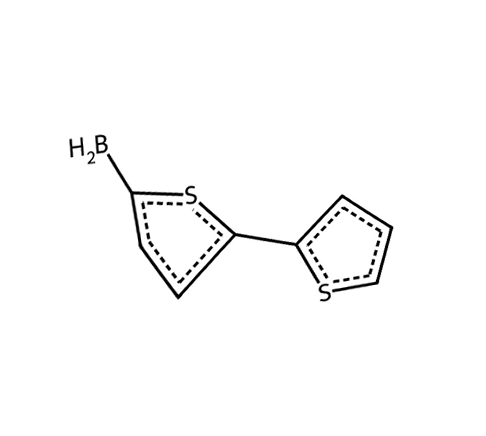 Bc1ccc(-c2cccs2)s1